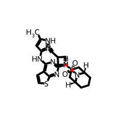 Cc1cc(Nc2nc(N[C@@H]3C[C@H]4CCC[C@@H](C3)N4S(=O)(=O)N3CC(C#N)C3)nc3sccc23)n[nH]1